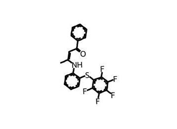 C/C(=C/C(=O)c1ccccc1)Nc1ccccc1Sc1c(F)c(F)c(F)c(F)c1F